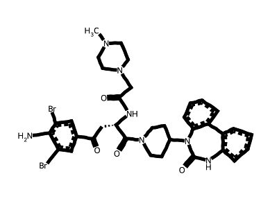 CN1CCN(CC(=O)N[C@@H](CC(=O)c2cc(Br)c(N)c(Br)c2)C(=O)N2CCC(N3C(=O)Nc4ccccc4-c4ccccc43)CC2)CC1